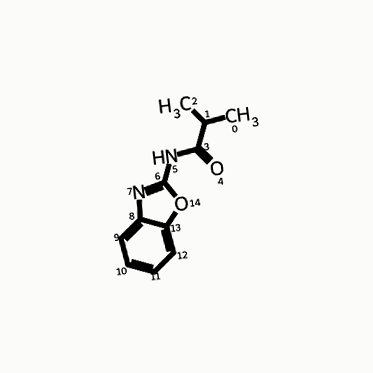 CC(C)C(=O)Nc1nc2ccccc2o1